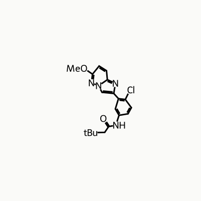 COc1ccc2nc(-c3cc(NC(=O)CC(C)(C)C)ccc3Cl)cn2n1